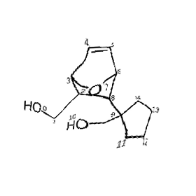 OCC1C2C=CC(O2)C1C1(O)CCCC1